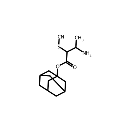 CC(N)C(SC#N)C(=O)OC12CC3CC(CC(C3)C1)C2